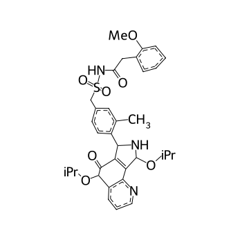 COc1ccccc1CC(=O)NS(=O)(=O)Cc1ccc(C2NC(OC(C)C)C3=C2C(=O)C(OC(C)C)c2cccnc23)c(C)c1